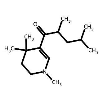 CC(C)CC(C)C(=O)C1=CN(C)CCC1(C)C